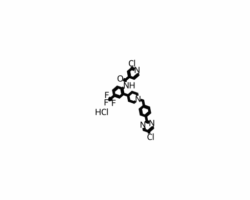 Cl.O=C(Nc1ccc(C(F)(F)F)cc1C1CCN(Cc2ccc(-c3ncc(Cl)cn3)cc2)CC1)c1ccnc(Cl)c1